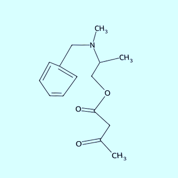 CC(=O)CC(=O)OCC(C)N(C)Cc1ccccc1